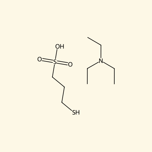 CCN(CC)CC.O=S(=O)(O)CCCS